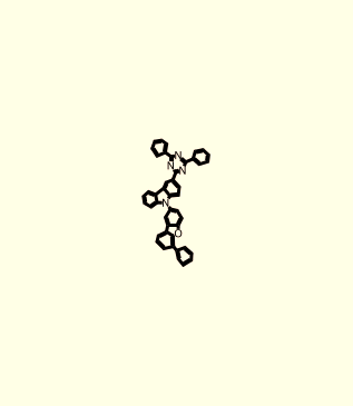 c1ccc(-c2nc(-c3ccccc3)nc(-c3ccc4c(c3)c3ccccc3n4-c3ccc4oc5c(-c6ccccc6)cccc5c4c3)n2)cc1